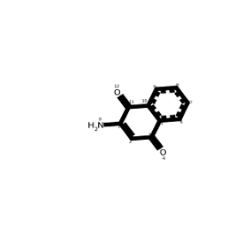 NC1=CC(=O)c2ccccc2C1=O